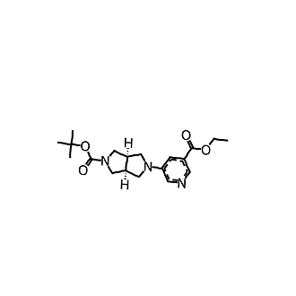 CCOC(=O)c1cncc(N2C[C@H]3CN(C(=O)OC(C)(C)C)C[C@H]3C2)c1